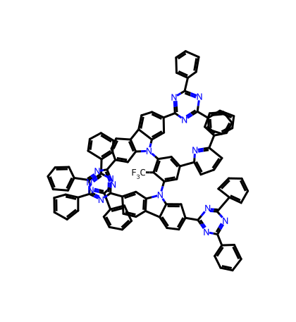 FC(F)(F)c1c(-n2c3cc(-c4nc(-c5ccccc5)nc(-c5ccccc5)n4)ccc3c3ccc(-c4nc(-c5ccccc5)nc(-c5ccccc5)n4)cc32)cc(-c2cccc(-c3ccccc3)n2)cc1-n1c2cc(-c3nc(-c4ccccc4)nc(-c4ccccc4)n3)ccc2c2ccc(-c3nc(-c4ccccc4)nc(-c4ccccc4)n3)cc21